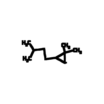 CC(C)CCC1[CH]C1(C)C